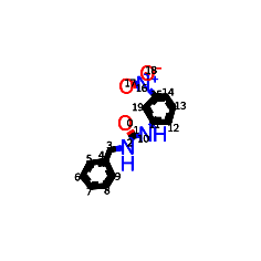 O=C(NCc1ccccc1)Nc1cccc([N+](=O)[O-])c1